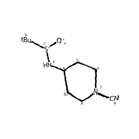 CC(C)(C)[S+]([O-])NC1CCN(C#N)CC1